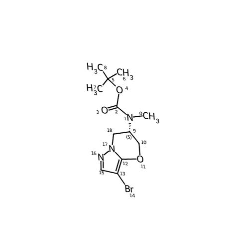 CN(C(=O)OC(C)(C)C)[C@@H]1COc2c(Br)cnn2C1